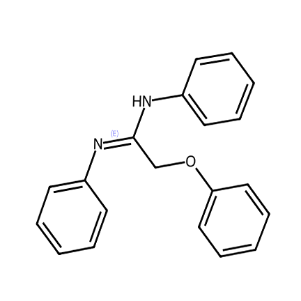 c1ccc(/N=C(\COc2ccccc2)Nc2ccccc2)cc1